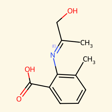 C/C(CO)=N\c1c(C)cccc1C(=O)O